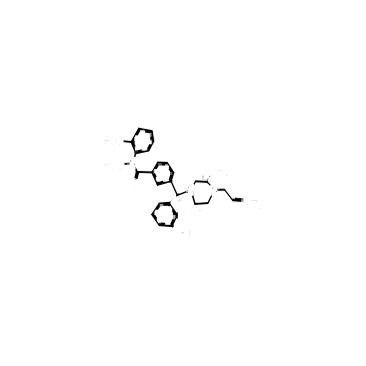 C=CCN1C[C@H](C)N([C@@H](c2cccc(O)c2)c2cccc(C(=O)N(C)c3ccccc3C(F)(F)F)c2)C[C@H]1C